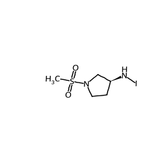 CS(=O)(=O)N1CC[C@H](NI)C1